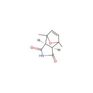 CC12C=CC(C)(O1)[C@H]1C(=O)NC(=O)[C@H]12